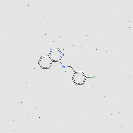 Clc1cccc(CNc2ncnc3ccccc23)c1